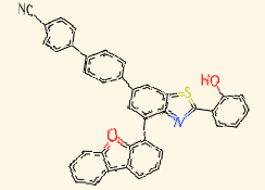 N#Cc1ccc(-c2ccc(-c3cc(-c4cccc5c4oc4ccccc45)c4nc(-c5ccccc5O)sc4c3)cc2)cc1